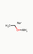 CC[O][AlH3-].[Na+]